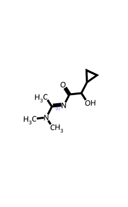 C/C(=N\C(=O)C(O)C1CC1)N(C)C